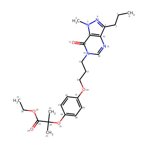 CCCc1nn(C)c2c(=O)n(CCCOc3ccc(OC(C)(C)C(=O)OCC)cc3)cnc12